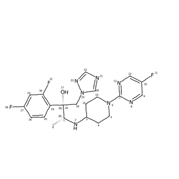 C[C@@H](NC1CCN(c2ncc(F)cn2)CC1)[C@](O)(Cn1cncn1)c1ccc(F)cc1F